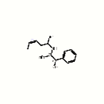 C/C=C\CC(N[C@H](CCC)[C@H](O)c1ccccc1)C(C)C